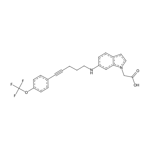 O=C(O)Cn1ccc2ccc(NCCCC#Cc3ccc(OC(F)(F)F)cc3)cc21